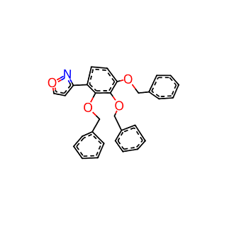 c1ccc(COc2ccc(-c3ccon3)c(OCc3ccccc3)c2OCc2ccccc2)cc1